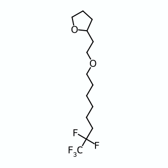 FC(F)(F)C(F)(F)CCCCCCOCCC1CCCO1